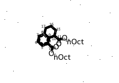 CCCCCCCCOC(=O)c1cccc2c1C(C(=O)OCCCCCCCC)CCC2